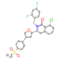 CS(=O)(=O)c1ccc(-c2coc(-c3cc4cccc(Cl)c4c(=O)n3Cc3ccc(F)cc3F)c2)cc1